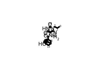 CCCn1c(N)c(NC(=O)C23CC4CC(C2)C(O)C3C4)c(=O)[nH]c1=O